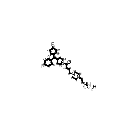 O=C(O)NCCN1CCN(CC=CC(=O)N2CCC(=C(c3ccc(F)cc3)c3ccc(F)cc3)CC2)CC1